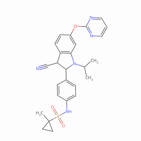 CC(C)N1c2cc(Oc3ncccn3)ccc2C(C#N)C1c1ccc(NS(=O)(=O)C2(C)CC2)cc1